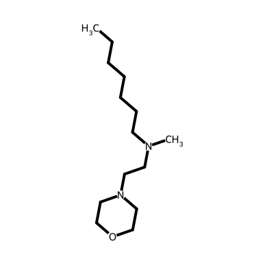 CCCCCCCN(C)CCN1CCOCC1